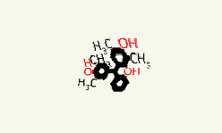 CC1=CC(C(c2cc(C)c(O)c(C)c2)c2ccccc2O)CC(C)=C1O